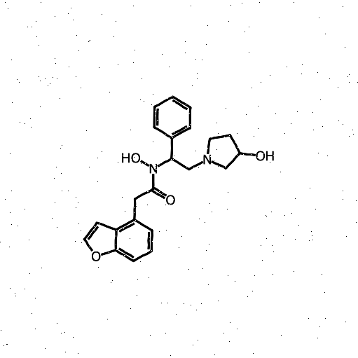 O=C(Cc1cccc2occc12)N(O)C(CN1CCC(O)C1)c1ccccc1